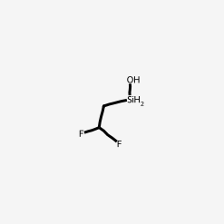 O[SiH2]CC(F)F